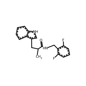 CC(Cc1c[nH]c2ccccc12)C(=O)NCc1c(F)cccc1F